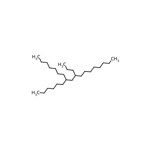 CCCCCCCCC([CH]C(CCCCCC)CCCCCCC)CCC